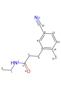 CCNC(=O)CCc1cc(C#N)ccc1I